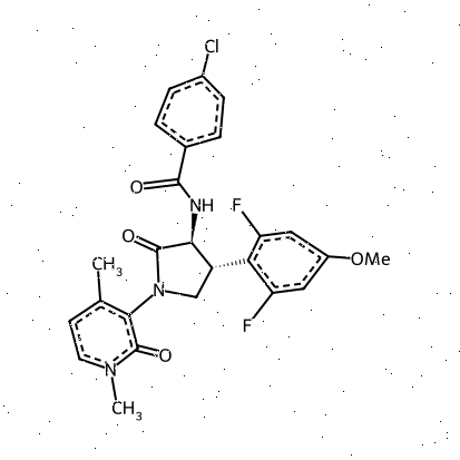 COc1cc(F)c([C@@H]2CN(c3c(C)ccn(C)c3=O)C(=O)[C@H]2NC(=O)c2ccc(Cl)cc2)c(F)c1